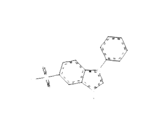 Cl.O=S(=O)(O)c1ccc2c(c1)ncn2-c1ccccc1